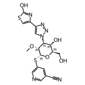 CO[C@@H]1[C@@H](n2cc(-c3csc(O)n3)nn2)[C@@H](O)[C@@H](CO)O[C@@H]1Sc1cncc(C#N)c1